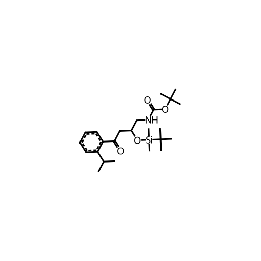 CC(C)c1ccccc1C(=O)CC(CNC(=O)OC(C)(C)C)O[Si](C)(C)C(C)(C)C